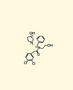 O=C(Cc1ccc(Cl)c(Cl)c1)N(CCO)[C@H](CN1CC[C@H](O)C1)c1ccccc1